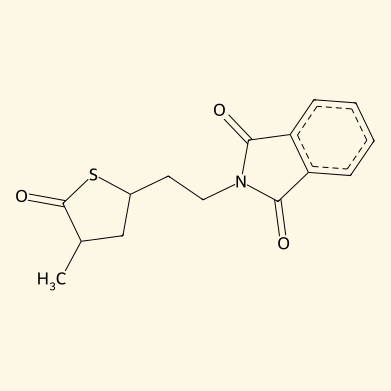 CC1CC(CCN2C(=O)c3ccccc3C2=O)SC1=O